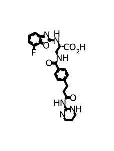 O=C(CCc1ccc(C(=O)NC[C@H](Nc2nc3cccc(F)c3o2)C(=O)O)cc1)NC1=NCCCN1